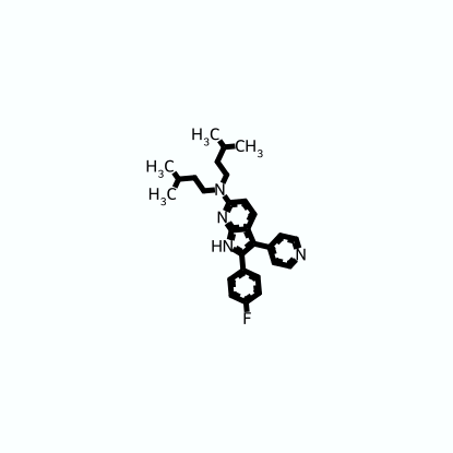 CC(C)CCN(CCC(C)C)c1ccc2c(-c3ccncc3)c(-c3ccc(F)cc3)[nH]c2n1